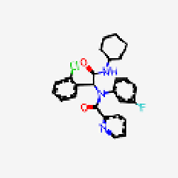 O=C(NC1CCCCC1)C(c1ccccc1Cl)N(C(=O)c1ccccn1)c1cccc(F)c1